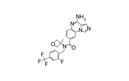 CC1(N(Cc2ccc(C(F)(F)F)cc2F)C(=O)c2ccc3nc(N)c4cncn4c3c2)COC1